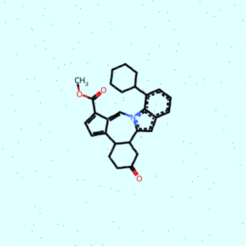 COC(=O)C1=CC=C2C1=Cn1c(cc3cccc(C4CCCCC4)c31)C1CC(=O)CCC21